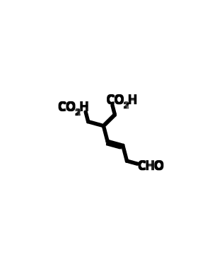 O=CCC=CC(CC(=O)O)CC(=O)O